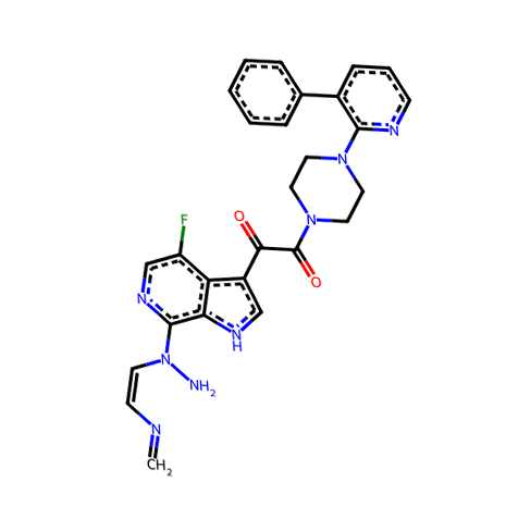 C=N/C=C\N(N)c1ncc(F)c2c(C(=O)C(=O)N3CCN(c4ncccc4-c4ccccc4)CC3)c[nH]c12